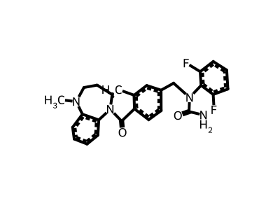 Cc1cc(CN(C(N)=O)c2c(F)cccc2F)ccc1C(=O)N1CCCN(C)c2ccccc21